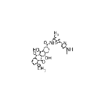 COc1cccc2c1C(=O)c1c(O)c3c(c(O)c1C2=O)CC(C(=O)NC[C@H](C)SSc1ccc(NI)cn1)CC3